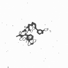 CCOC(=O)C1=C(C)N=c2s/c(=C/c3ccc(-c4cccc(C(F)(F)F)c4)o3)c(=O)n2C1c1ccc2c(c1)OCO2